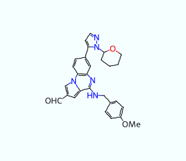 COc1ccc(CNc2nc3cc(-c4ccnn4C4CCCCO4)ccc3n3cc(C=O)cc23)cc1